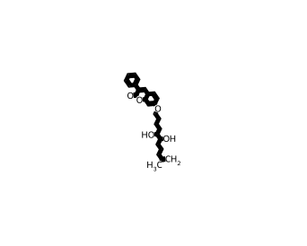 C=C(C)CCCC(O)C(O)CCCCOC1=CC2OC(=O)C(c3ccccc3)=CC2C=C1